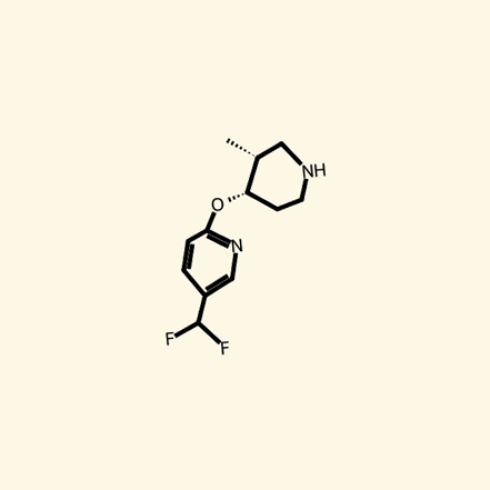 C[C@@H]1CNCC[C@@H]1Oc1ccc(C(F)F)cn1